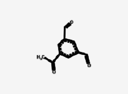 CC(=O)c1cc(C=O)cc(C=O)c1